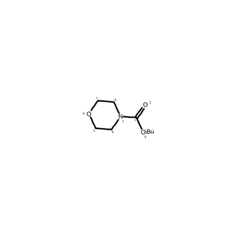 CC(C)COC(=O)N1CCOCC1